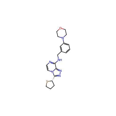 c1cc(CNc2nccn3c([C@@H]4CCCS4)nnc23)cc(N2CCOCC2)c1